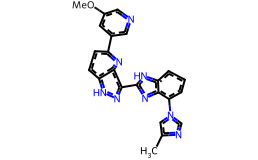 COc1cncc(-c2ccc3[nH]nc(-c4nc5c(-n6cnc(C)c6)cccc5[nH]4)c3n2)c1